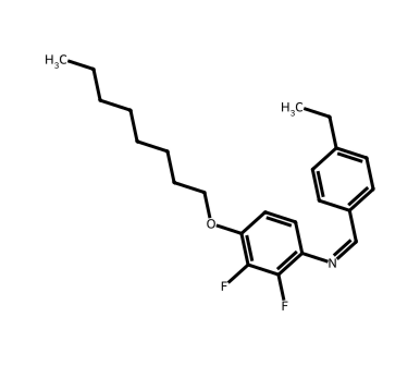 CCCCCCCCOc1ccc(/N=C\c2ccc(CC)cc2)c(F)c1F